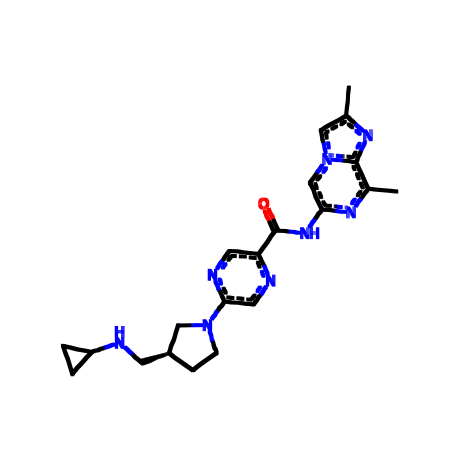 Cc1cn2cc(NC(=O)c3cnc(N4CC[C@@H](CNC5CC5)C4)cn3)nc(C)c2n1